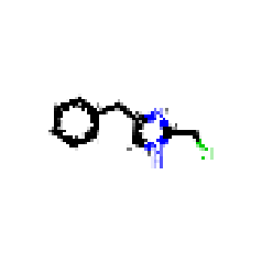 ClCc1nc(Cc2ccccc2)c[nH]1